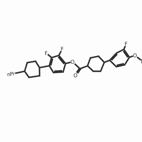 CCCC1CCC(c2ccc(OC(=O)C3CCC(c4ccc(OCC)c(F)c4)CC3)c(F)c2F)CC1